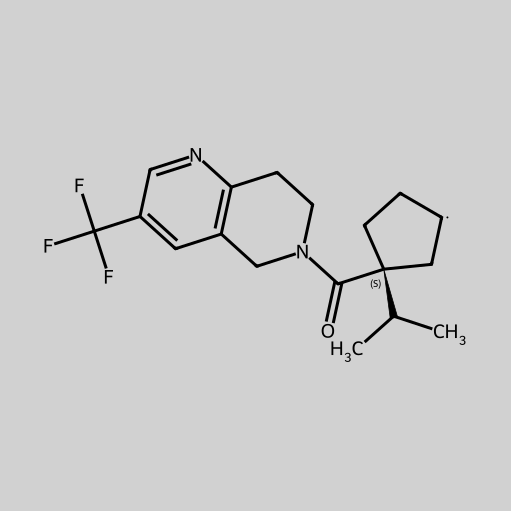 CC(C)[C@]1(C(=O)N2CCc3ncc(C(F)(F)F)cc3C2)C[CH]CC1